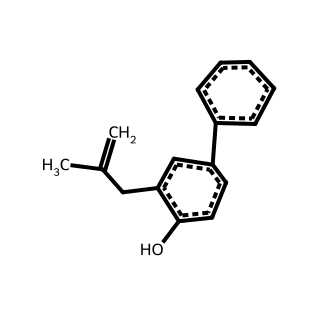 C=C(C)Cc1cc(-c2ccccc2)ccc1O